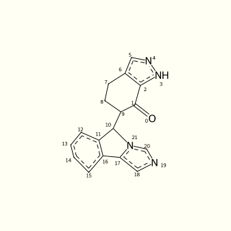 O=C1c2[nH]ncc2CCC1C1c2ccccc2-c2cncn21